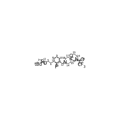 CC(C)(C)[Si](C)(C)OCCc1cccc(CN2CCC3(CC2)CN(C(=O)C(F)(F)F)CCO3)c1F